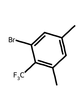 Cc1cc(C)c(C(F)(F)F)c(Br)c1